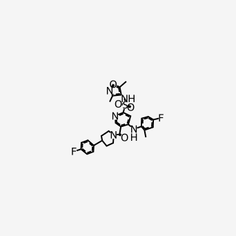 Cc1cc(F)ccc1Nc1cc(S(=O)(=O)Nc2c(C)noc2C)ncc1C(=O)N1CCC(c2ccc(F)cc2)CC1